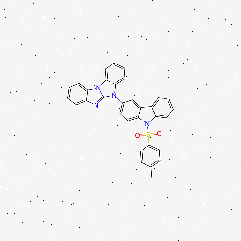 Cc1ccc(S(=O)(=O)n2c3ccccc3c3cc(-n4c5ccccc5n5c6ccccc6nc45)ccc32)cc1